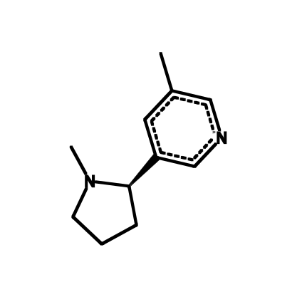 Cc1cncc([C@H]2CCCN2C)c1